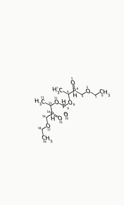 CCOC[PH](=O)C(C)O[PH](=O)OC(C)[PH](=O)COCC